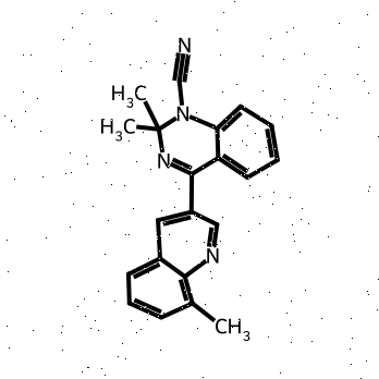 Cc1cccc2cc(C3=NC(C)(C)N(C#N)c4ccccc43)cnc12